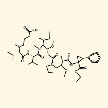 CCOC(=O)[C@]1(NC(=O)[C@H](C)[C@@H](OC)[C@@H]2CCCN2C(=O)C[C@@H](OC)[C@H]([C@@H](C)CC)N(C)C(=O)[C@@H](NC(=O)[C@H](C(C)C)N(C)CCCC(=O)O)C(C)C)C[C@@H]1c1ccccc1